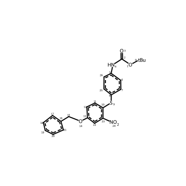 CC(C)(C)OC(=O)Nc1ccc(Sc2ccc(OCc3ccccc3)cc2[N+](=O)[O-])cc1